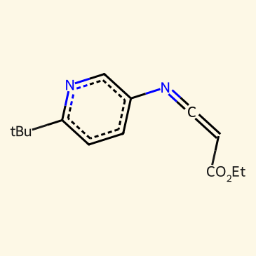 CCOC(=O)C=C=Nc1ccc(C(C)(C)C)nc1